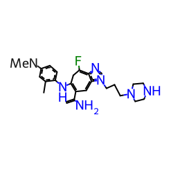 C=C(N)C1=C(Nc2ccc(NC)cc2C)CC(F)=c2ncn(CCCN3CCNCC3)c2=C1